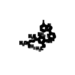 COc1cc(N(C)CCN(C)C)c(N)cc1Nc1nccc(-c2cnc3c(I)cccn23)n1